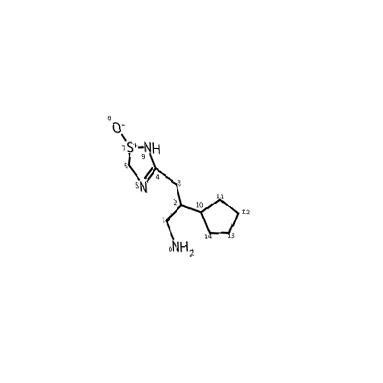 NCC(CC1=NC[S+]([O-])N1)C1CCCC1